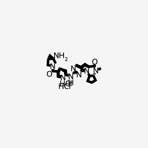 CN(C)C(=O)c1cc2cnc(Nc3ccc(C(=O)N4CC5CC5(N)C4)cn3)nc2n1C1CCCC1.Cl.Cl